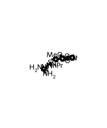 CCCN(c1nc(-c2nc(N)cc(N)n2)cs1)c1cc(-c2ccc(S(=O)(=O)N3CCN(C)CC3)cc2OC)ccc1C